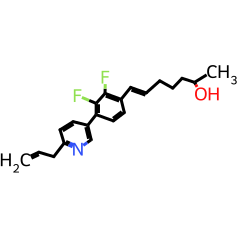 C=CCc1ccc(-c2ccc(/C=C/CCCC(C)O)c(F)c2F)cn1